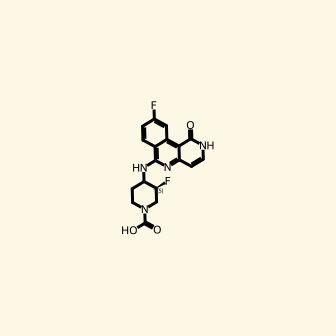 O=C(O)N1CCC(Nc2nc3cc[nH]c(=O)c3c3cc(F)ccc23)[C@@H](F)C1